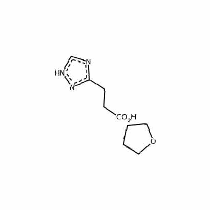 C1CCOC1.O=C(O)CCc1nc[nH]n1